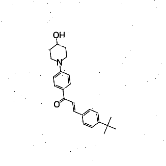 CC(C)(C)c1ccc(C=CC(=O)c2ccc(N3CCC(O)CC3)cc2)cc1